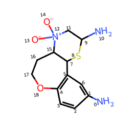 Nc1ccc2c(c1)C1SC(N)C[N+]([O-])([O-])C1CCO2